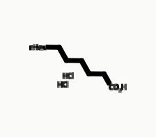 CCCCCCCCCCCC(=O)O.Cl.Cl